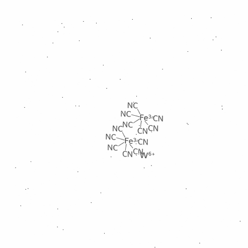 N#[C][Fe-3]([C]#N)([C]#N)([C]#N)([C]#N)[C]#N.N#[C][Fe-3]([C]#N)([C]#N)([C]#N)([C]#N)[C]#N.[W+6]